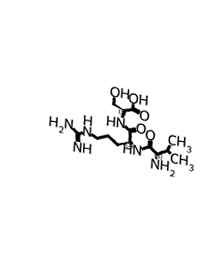 CC(C)[C@H](N)C(=O)N[C@@H](CCCNC(=N)N)C(=O)N[C@@H](CO)C(=O)O